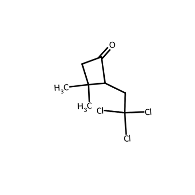 CC1(C)CC(=O)C1CC(Cl)(Cl)Cl